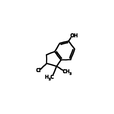 CC1(C)c2ccc(O)cc2CC1Cl